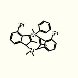 CC1=C2c3c(C(C)C)cccc3[CH]1[Zr]([CH3])([CH3])[CH]1C(C)=C(c3c(C(C)C)cccc31)[Si]2(C)c1ccccc1